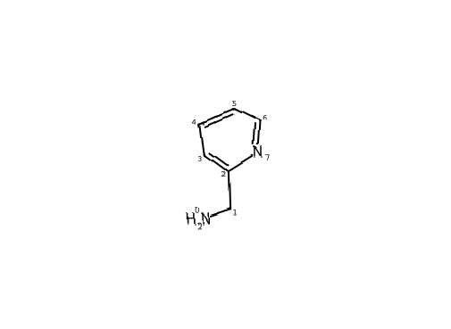 NCc1c[c]ccn1